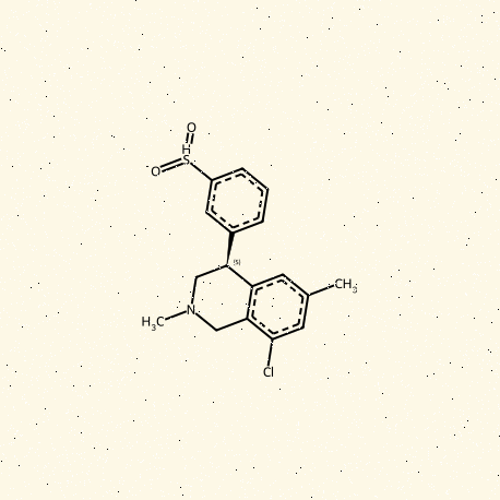 Cc1cc(Cl)c2c(c1)[C@H](c1cccc([SH](=O)=O)c1)CN(C)C2